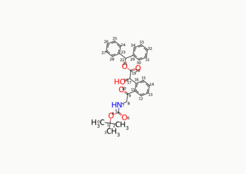 CC(C)(C)OC(=O)NCC(=O)c1ccccc1C(O)C(=O)OC(c1ccccc1)c1ccccc1